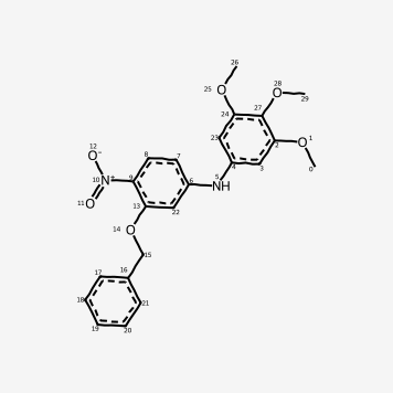 COc1cc(Nc2ccc([N+](=O)[O-])c(OCc3ccccc3)c2)cc(OC)c1OC